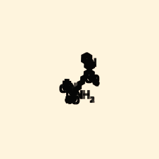 CCOC(=O)CC(CCCCCCc1nc(C(=O)C(C)(C)C)nc(C(=O)C(C)(C)C)c1N)c1cnc2ccccc2c1